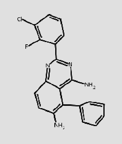 Nc1ccc2nc(-c3cccc(Cl)c3F)nc(N)c2c1-c1ccccc1